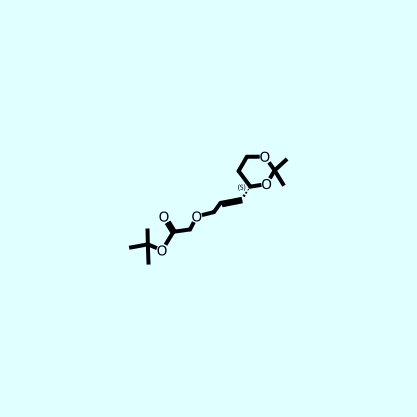 CC(C)(C)OC(=O)COCC=C[C@@H]1CCOC(C)(C)O1